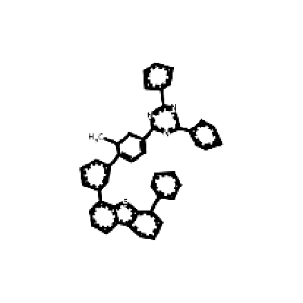 CC1CC(c2nc(-c3ccccc3)nc(-c3ccccc3)n2)=CC=C1c1cccc(-c2cccc3c2sc2c(-c4ccccc4)cccc23)c1